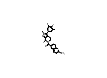 Bc1cnc2cc(C(=O)N3CCc4c(nn(C)c4-c4cc(F)c(F)c(F)c4)[C@@H]3C)ccc2n1